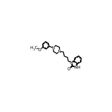 COc1cccc(N2CCN(CCCCn3c(=O)[nH]c4ccccc43)CC2)c1